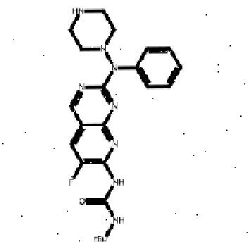 CC(C)(C)NC(=O)Nc1nc2nc(N(c3ccccc3)N3CCNCC3)ncc2cc1F